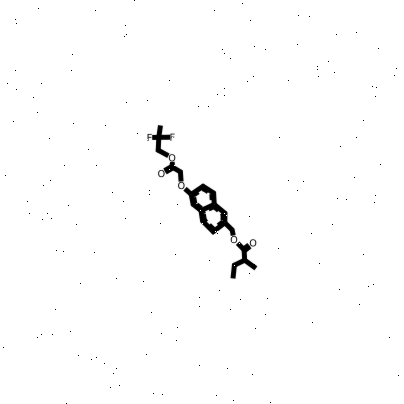 CCC(C)C(=O)OCc1ccc2cc(OCC(=O)OCC(C)(F)F)ccc2c1